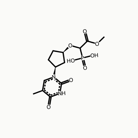 COC(=O)C(O[C@@H]1CC[C@H](n2cc(C)c(=O)[nH]c2=O)C1)P(=O)(O)O